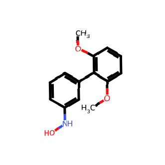 COc1cccc(OC)c1-c1cccc(NO)c1